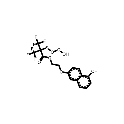 O=C(OCCOc1ccc2c(O)cccc2c1)C(SOOO)(C(F)(F)F)C(F)(F)F